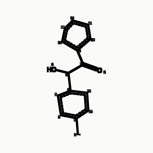 [CH2]c1ccc(C(O)C(=O)c2ccccc2)cc1